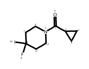 O=C(C1CC1)N1CCC(F)(I)CC1